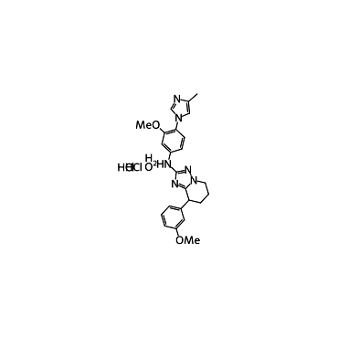 COc1cccc(C2CCCn3nc(Nc4ccc(-n5cnc(C)c5)c(OC)c4)nc32)c1.Cl.Cl.O